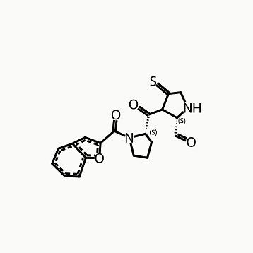 O=C[C@H]1NCC(=S)C1C(=O)[C@@H]1CCCN1C(=O)c1cc2ccccc2o1